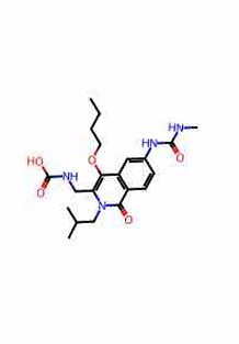 CCCCOc1c(CNC(=O)O)n(CC(C)C)c(=O)c2ccc(NC(=O)NC)cc12